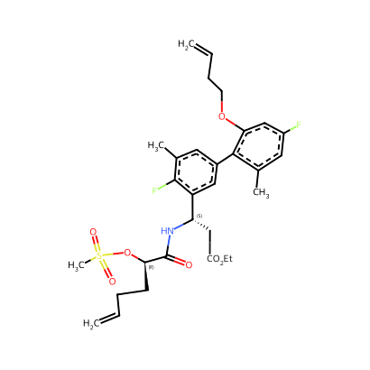 C=CCCOc1cc(F)cc(C)c1-c1cc(C)c(F)c([C@H](CC(=O)OCC)NC(=O)[C@@H](CCC=C)OS(C)(=O)=O)c1